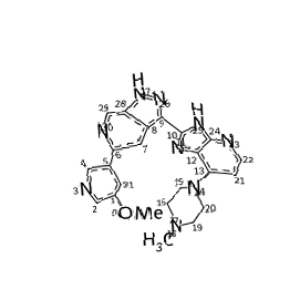 COc1cncc(-c2cc3c(-c4nc5c(N6CCN(C)CC6)ccnc5[nH]4)n[nH]c3cn2)c1